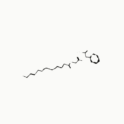 CCCCCCCCCCCC(=O)NCC(=O)N[C@H](C(=O)O)c1ccccc1